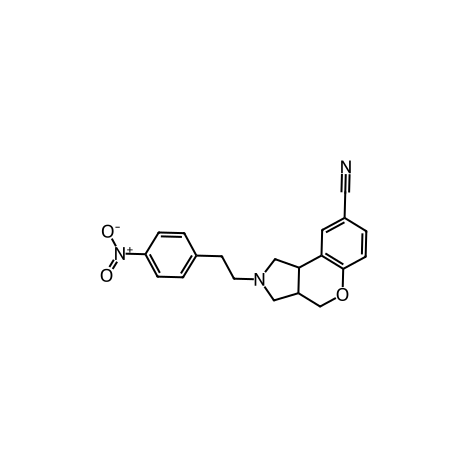 N#Cc1ccc2c(c1)C1CN(CCc3ccc([N+](=O)[O-])cc3)CC1CO2